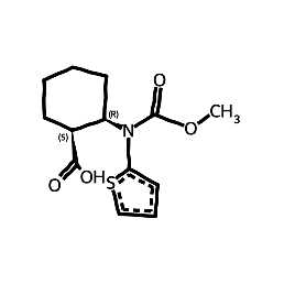 COC(=O)N(c1cccs1)[C@@H]1CCCC[C@@H]1C(=O)O